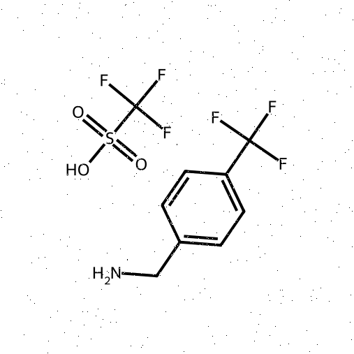 NCc1ccc(C(F)(F)F)cc1.O=S(=O)(O)C(F)(F)F